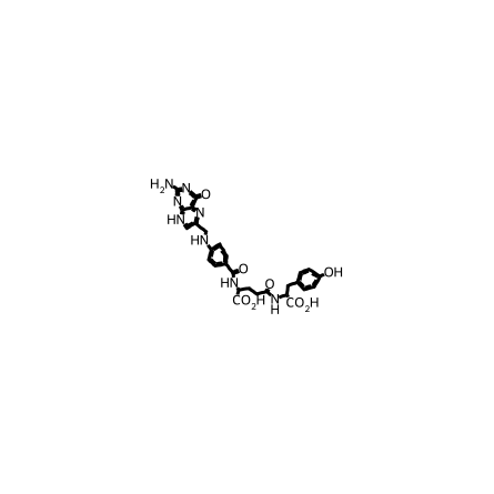 Nc1nc2[nH]cc(CNc3ccc(C(=O)NC(CCC(=O)NC(Cc4ccc(O)cc4)C(=O)O)C(=O)O)cc3)nc-2c(=O)n1